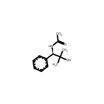 CC(C)(O)[C@H](NC(=O)C(Cl)(Cl)Cl)c1ccccc1